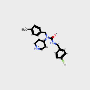 CC(C)COc1ccc(CN(C(=O)NCc2ccc(F)cc2)C2CCNCC2)cc1